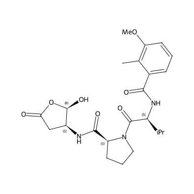 COc1cccc(C(=O)N[C@H](C(=O)N2CCC[C@H]2C(=O)N[C@H]2CC(=O)O[C@H]2O)C(C)C)c1C